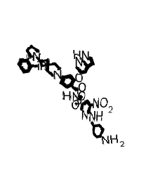 CC(C)c1ccccc1[C@H]1CCCN1C1CC2(CCN(c3ccc(C(=O)NS(=O)(=O)c4cnc(NCC5CCC(N)CC5)c([N+](=O)[O-])c4)c(Oc4cnc5[nH]ccc5c4)c3)CC2)C1